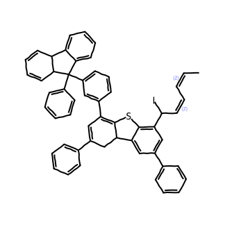 C/C=C\C=C/C(I)c1cc(-c2ccccc2)cc2c1SC1=C(c3cccc(C4(c5ccccc5)c5ccccc5C5C=CC=CC54)c3)C=C(c3ccccc3)CC12